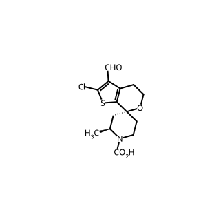 C[C@H]1C[C@@]2(CCN1C(=O)O)OCCc1c2sc(Cl)c1C=O